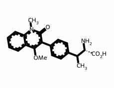 COc1c(-c2ccc(C(C)[C@H](N)C(=O)O)cc2)c(=O)n(C)c2ccccc12